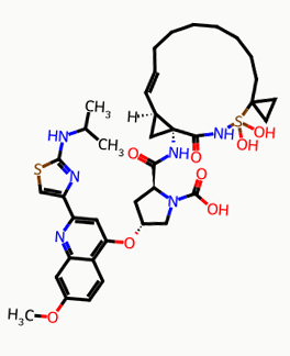 COc1ccc2c(O[C@@H]3C[C@@H](C(=O)N[C@]45C[C@H]4/C=C/CCCCCCCC4(CC4)S(O)(O)NC5=O)N(C(=O)O)C3)cc(-c3csc(NC(C)C)n3)nc2c1